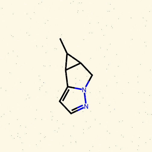 CC1C2Cn3nccc3C12